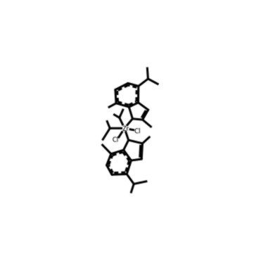 CC1=Cc2c(C(C)C)ccc(C)c2[CH]1[Zr]([Cl])([Cl])([CH](C)C)([CH](C)C)[CH]1C(C)=Cc2c(C(C)C)ccc(C)c21